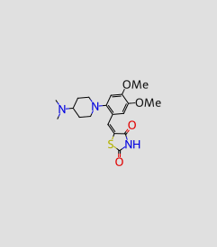 COc1cc(C=C2SC(=O)NC2=O)c(N2CCC(N(C)C)CC2)cc1OC